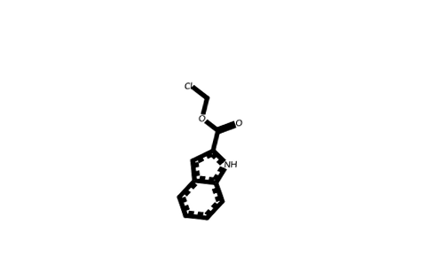 O=C(OCCl)c1cc2ccccc2[nH]1